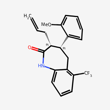 C=CC[C@H]1C(=O)Nc2cccc(C(F)(F)F)c2C[C@H]1c1ccccc1OC